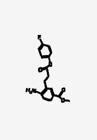 COC(=O)c1ccc(N)c(CCC(=O)Oc2ccc(F)cc2)c1